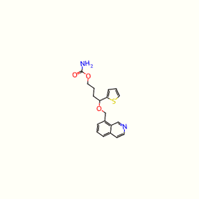 NC(=O)OCCCC(OCc1cccc2ccncc12)c1cccs1